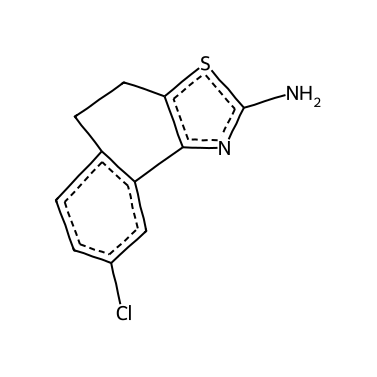 Nc1nc2c(s1)CCc1ccc(Cl)cc1-2